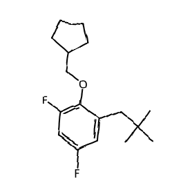 CC(C)(C)Cc1cc(F)cc(F)c1OCC1CCCC1